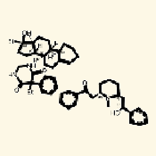 CCC1(c2ccccc2)C(=O)NCNC1=O.CC[C@]1(O)CC[C@H]2[C@@H]3CCC4=CCCC[C@@H]4[C@H]3CC[C@@]21C.CN1[C@@H](CC(=O)c2ccccc2)CCC[C@H]1C[C@H](O)c1ccccc1